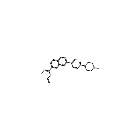 C=CS/C(=N\C)c1ccc2cnc(C(/C=C\C(=C)N3CCN(C)CC3)=C/C)cc2c1